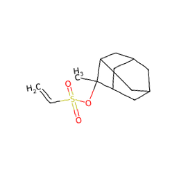 C=CS(=O)(=O)OC1(C)C2CC3CC(C2)CC1C3